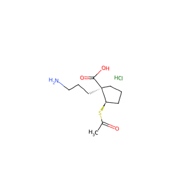 CC(=O)S[C@@H]1CCC[C@]1(CCCN)C(=O)O.Cl